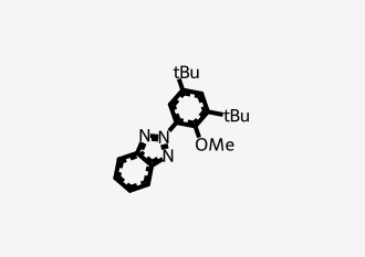 COc1c(-n2nc3ccccc3n2)cc(C(C)(C)C)cc1C(C)(C)C